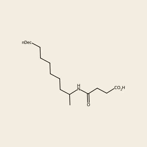 CCCCCCCCCCCCCCCCC(C)NC(=O)CCC(=O)O